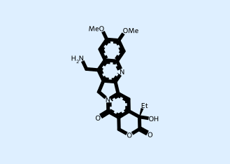 CC[C@@]1(O)C(=O)OCc2c1cc1n(c2=O)Cc2c-1nc1cc(OC)c(OC)cc1c2CN